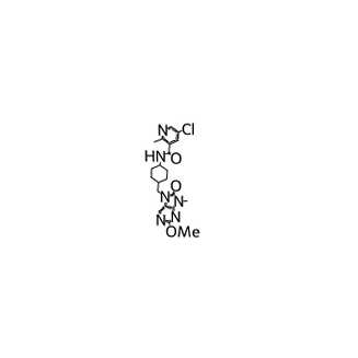 COc1ncc2c(n1)n(C)c(=O)n2CC1CCC(NC(=O)c2cc(Cl)cnc2C)CC1